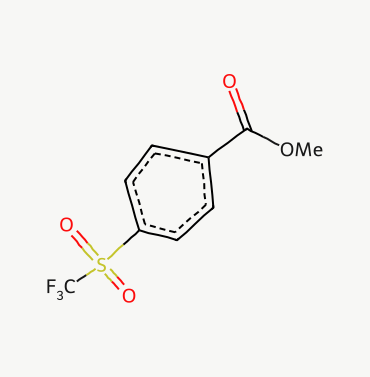 COC(=O)c1ccc(S(=O)(=O)C(F)(F)F)cc1